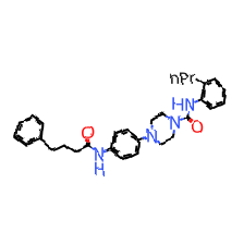 CCCc1ccccc1NC(=O)N1CCN(c2ccc(NC(=O)CCCc3ccccc3)cc2)CC1